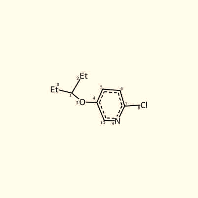 CCC(CC)Oc1ccc(Cl)nc1